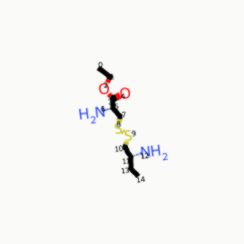 CCOC(=O)[C@@H](N)CSSC[C@H](N)CC